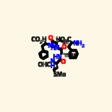 CCCC[C@H](NC(=O)[C@H](CCSC)NC=O)C(=O)N[C@@H](CC(C)C)C(=O)N[C@@H](Cc1ccccc1)C(=O)O.N[C@@H](Cc1ccccc1)C(=O)O